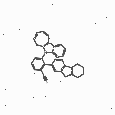 N#Cc1cccc(-n2c3c(c4ccccc42)C=CC=CC3)c1-c1ccc2c(c1)CC1=C2CCCC1